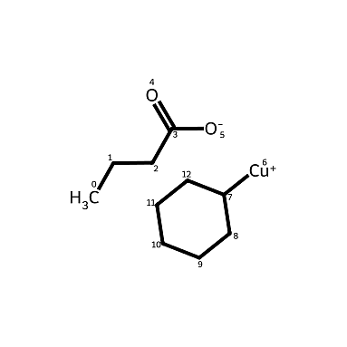 CCCC(=O)[O-].[Cu+][CH]1CCCCC1